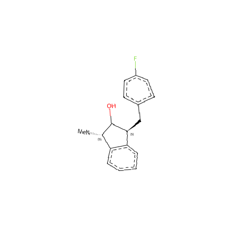 CN[C@H]1c2ccccc2[C@H](Cc2ccc(F)cc2)C1O